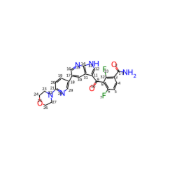 NC(=O)c1ccc(F)c(C(=O)c2c[nH]c3ncc(-c4ccc(N5CCOCC5)nc4)cc23)c1F